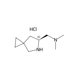 CN(C)C[C@@H]1CC2(CC2)CN1.Cl